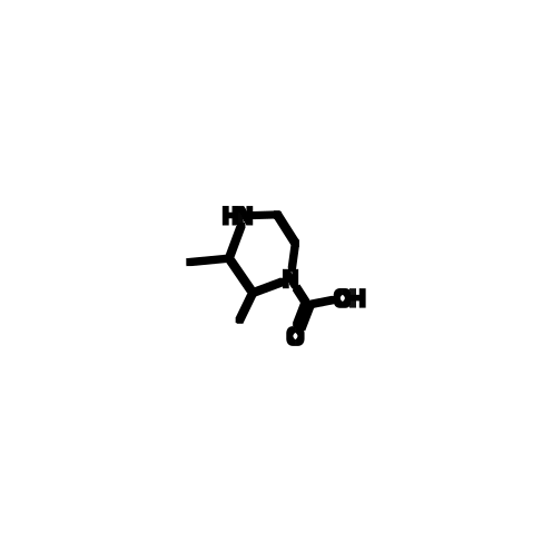 CC1NCCN(C(=O)O)C1C